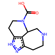 O=C(O)N1CCc2[nH]nc3c2C1CNCC3